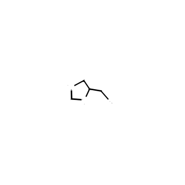 [NH]CC1COCO1